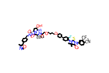 Cc1ncoc1-c1ccc(CNC(=O)[C@@H]2C[C@@H](O)CN2C(=O)[C@@H](NC(=O)COCCCCOc2ccc(-c3ccc(N4C(=S)N(c5ccc(C#N)c(C(F)(F)F)c5)C(=O)C4(C)C)c(F)c3)cc2)C(C)(C)C)cc1